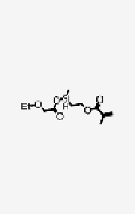 C=C(C)C(=O)OCC[SiH](C)OC(=O)COCC